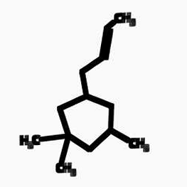 CC=CCC1CC(C)CC(C)(C)C1